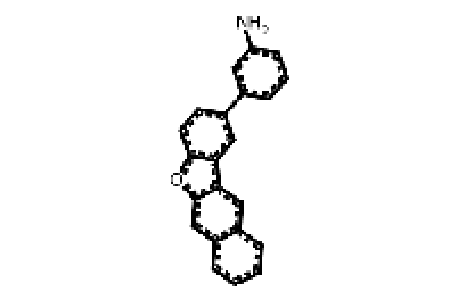 Nc1cccc(-c2ccc3oc4cc5ccccc5cc4c3c2)c1